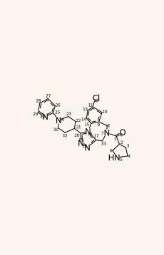 O=C(C1CCNC1)N1Cc2cc(Cl)ccc2-n2c(nnc2C2CCN(c3ccccn3)CC2)C1